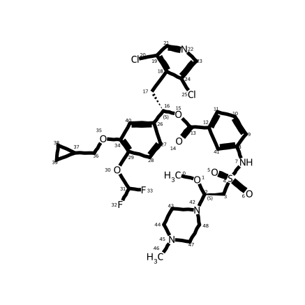 CO[C@@H](CS(=O)(=O)Nc1cccc(C(=O)O[C@@H](Cc2c(Cl)cncc2Cl)c2ccc(OC(F)F)c(OCC3CC3)c2)c1)N1CCN(C)CC1